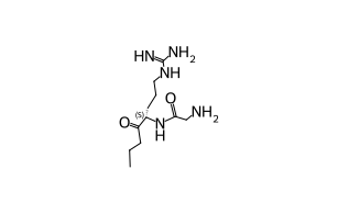 CCCC(=O)[C@H](CCCNC(=N)N)NC(=O)CN